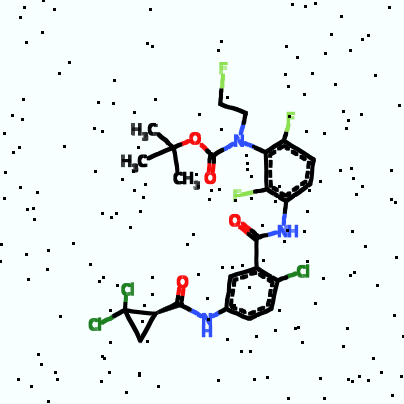 CC(C)(C)OC(=O)N(CCF)c1c(F)ccc(NC(=O)c2cc(NC(=O)[C@H]3CC3(Cl)Cl)ccc2Cl)c1F